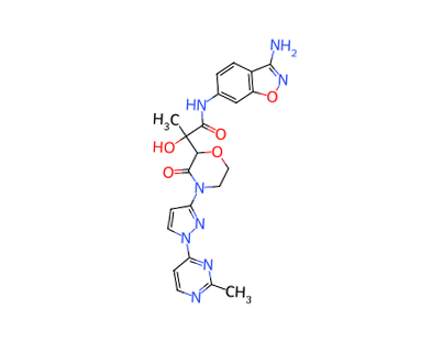 Cc1nccc(-n2ccc(N3CCOC(C(C)(O)C(=O)Nc4ccc5c(N)noc5c4)C3=O)n2)n1